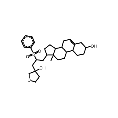 CC12CCC3C4CCC(O)CC4=CCC3C1CCC2CC(CC1(O)CCOC1)S(=O)(=O)c1ccccc1